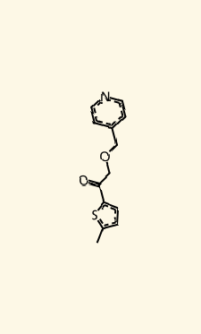 Cc1ccc(C(=O)COCc2ccncc2)s1